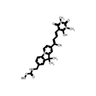 Cn1c(O)c(/C=C/C=C(\C#N)c2cc[n+]3c(c2)C(C)(C)c2cc(CNC(=O)OC(C)(C)C)ccc2-3)c(=O)n(C)c1=O